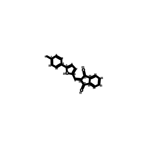 Cc1ccc(-c2ccc(C=C3C(=O)c4ccccc4C3=O)o2)cc1